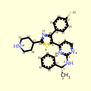 C[C@@H](Nc1nccc(-c2sc(C3CCNCC3)nc2-c2ccc(F)cc2)n1)c1ccccc1